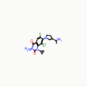 CC(N)C1CCN(c2c(F)cc3c(=O)n(N)c(=O)n(C4CC4)c3c2Cl)C1